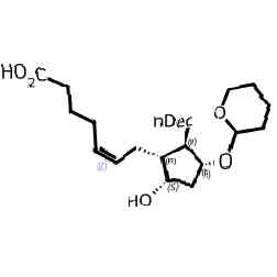 CCCCCCCCCC[C@@H]1[C@@H](C/C=C\CCCC(=O)O)[C@@H](O)C[C@H]1OC1CCCCO1